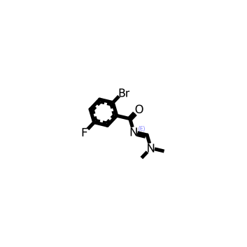 CN(C)/C=N/C(=O)c1cc(F)ccc1Br